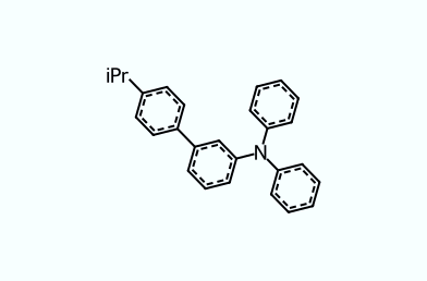 CC(C)c1ccc(-c2cccc(N(c3ccccc3)c3ccccc3)c2)cc1